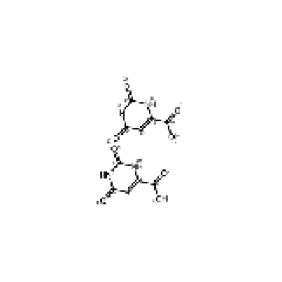 O=C(O)c1cc(=O)[nH]c(=O)[nH]1.O=C(O)c1cc(=O)[nH]c(=O)[nH]1